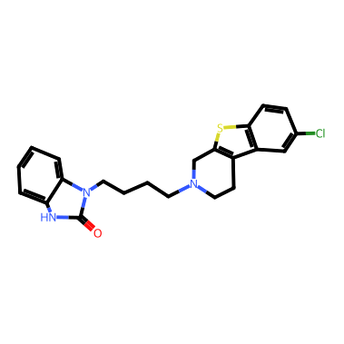 O=c1[nH]c2ccccc2n1CCCCN1CCc2c(sc3ccc(Cl)cc23)C1